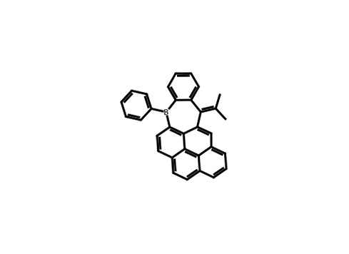 CC(C)=C1c2ccccc2B(c2ccccc2)c2ccc3ccc4cccc5cc1c2c3c45